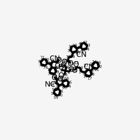 N#CC(C(=O)OOCC(COOC(=O)C=Cc1cccc(-c2ccccc2)c1C#N)(COOC(=O)C=Cc1cccc(-c2ccccc2)c1C#N)COOC(=O)C(C#N)=C(c1ccccc1)c1ccccc1)=C(c1ccccc1)c1ccccc1